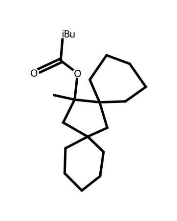 CCC(C)C(=O)OC1(C)CC2(CCCCC2)CC12CCCCC2